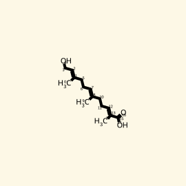 C/C(=C\CO)CC/C=C(\C)CC/C=C(\C)C(=O)O